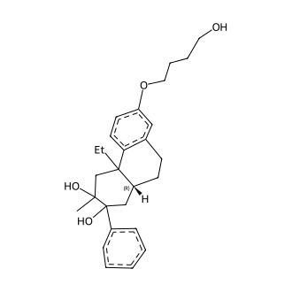 CCC12CC(C)(O)C(O)(c3ccccc3)C[C@H]1CCc1cc(OCCCCO)ccc12